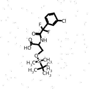 CC(C)(C)[Si](C)(C)OCC(NC(=O)C(F)(F)c1cccc(Cl)c1)C(=O)O